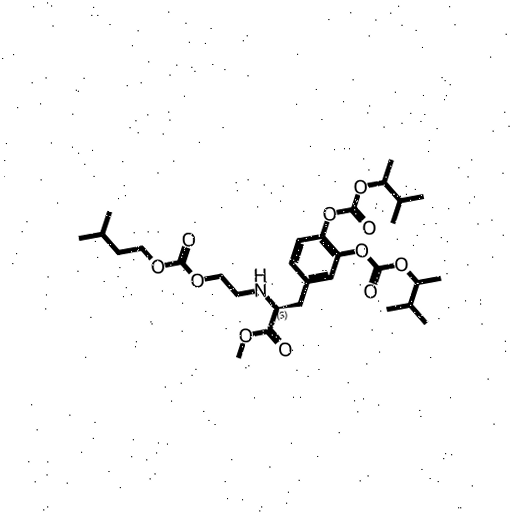 COC(=O)[C@H](Cc1ccc(OC(=O)OC(C)C(C)C)c(OC(=O)OC(C)C(C)C)c1)NCCOC(=O)OCCC(C)C